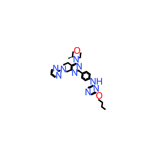 CCCCOc1cncc(Nc2ccc(-c3nc4c(c(N5CCOC[C@@H]5C)n3)CCN(c3ncccn3)C4)cc2)n1